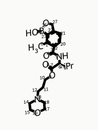 Cc1c(C(=O)N[C@H](C(=O)OCCCN2CCOCC2)C(C)C)ccc2c1B(O)OC2